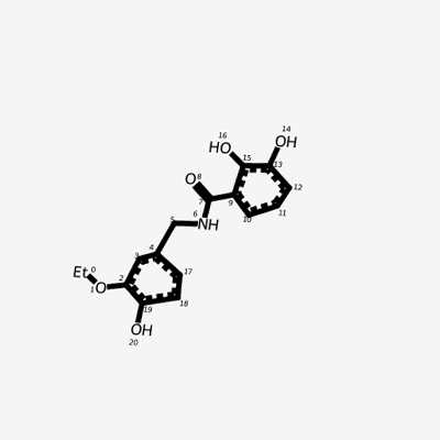 CCOc1cc(CNC(=O)c2cccc(O)c2O)ccc1O